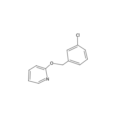 Clc1cccc(COc2ccccn2)c1